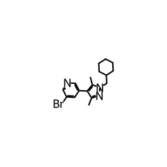 Cc1nn(CC2CCCCC2)c(C)c1-c1cncc(Br)c1